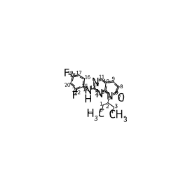 CCC(CC)n1c(=O)ccc2cnc(Nc3ccc(F)cc3F)nc21